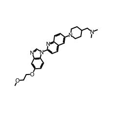 COCCOc1ccc2c(c1)ncn2-c1ccc2cc(N3CCC(CN(C)C)CC3)ccc2n1